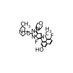 CCc1c(F)ccc2cc(O)cc(-c3ncc4c(N5C6CCC5COC6)nc(OC[C@@]56CCCN5C[C@H](C)C6)nc4c3F)c12